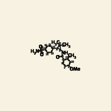 COc1ccc(C(=O)NC2C(c3ccc(S(N)(=O)=O)cc3)C2(C)C)c(C)c1